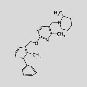 Cc1nc(OCc2cccc(-c3ccccc3)c2C)ncc1CN1CCCC[C@H]1C